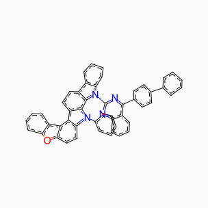 c1ccc(-c2ccc(-c3nc(-n4c5ccccc5c5ccc6c7c8c(ccc7n(-c7ccccc7)c6c54)oc4ccccc48)nc4ccccc34)cc2)cc1